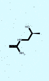 C=C(N)NC[C@H](C)O